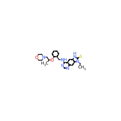 CCn1c(=S)[nH]c2cc3c(NCc4ccccc4OC(C)CN4CCOCC4)ncnc3cc21